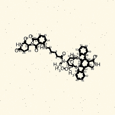 CO[C@@H]1[C@H](N(C)C(=O)CCCCNc2cccc3c2C(=O)N(C2CCC(=O)NC2=O)C3=O)C[C@H]2O[C@]1(C)n1c3ccccc3c3c4c(c5c6ccccc6n2c5c31)C(=O)NC4